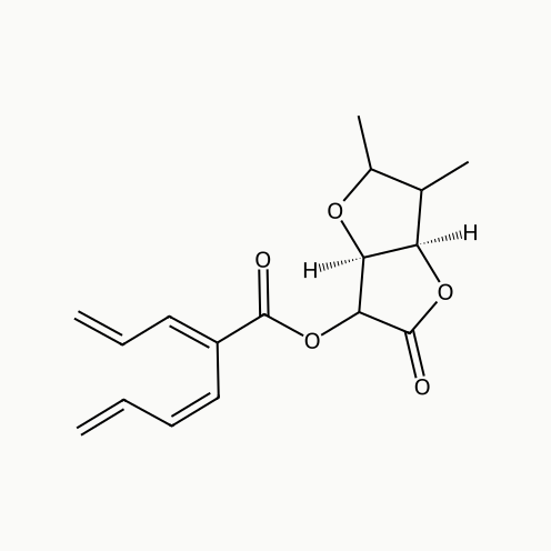 C=C/C=C\C(=C/C=C)C(=O)OC1C(=O)O[C@@H]2C(C)C(C)O[C@H]12